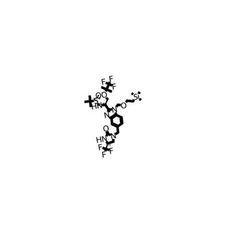 CC(C)(C)[S@@+]([O-])N[C@@H](COC(C)(C)C(F)(F)F)c1nc2cc(CN3C[C@@H](C(F)(F)F)NC3=O)ccc2n1COCC[Si](C)(C)C